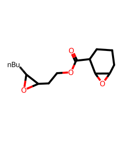 CCCCC1OC1CCOC(=O)C1CCCC2OC21